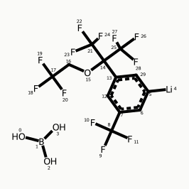 OB(O)O.[Li][c]1cc(C(F)(F)F)cc(C(OCC(F)(F)F)(C(F)(F)F)C(F)(F)F)c1